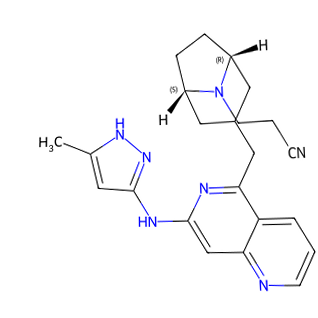 Cc1cc(Nc2cc3ncccc3c(CC3C[C@H]4CC[C@@H](C3)N4CCC#N)n2)n[nH]1